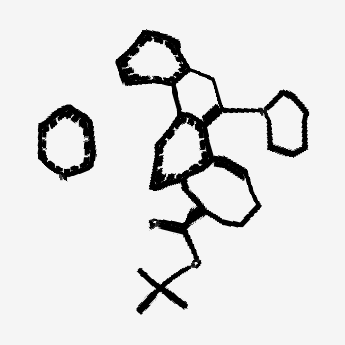 CC(C)(C)OC(=O)C1CCC=c2c1ccc1c2=C(N2CCCC2)Cc2ccccc2-1.c1ccncc1